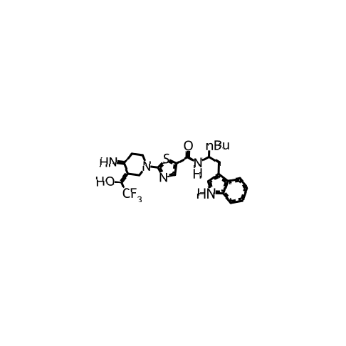 CCCCC(Cc1c[nH]c2ccccc12)NC(=O)c1cnc(N2CCC(=N)/C(=C(\O)C(F)(F)F)C2)s1